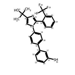 CC(C)(O)c1cn(-c2ccc(-c3cccc(S)c3)cc2)c(-c2ccccc2C(F)(F)F)n1